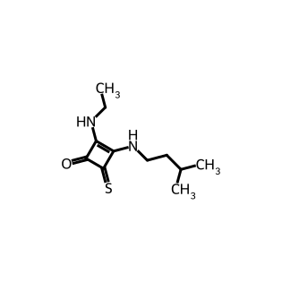 CCNc1c(NCCC(C)C)c(=S)c1=O